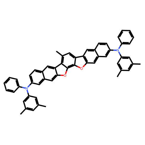 Cc1cc(C)cc(N(c2ccccc2)c2ccc3cc4c(cc3c2)oc2c4cc(C)c3c4cc5ccc(N(c6ccccc6)c6cc(C)cc(C)c6)cc5cc4oc23)c1